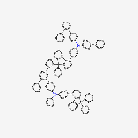 c1ccc(-c2ccc(N(c3ccc(-c4ccccc4-c4ccccc4)cc3)c3ccc(-c4cccc5c4-c4ccccc4C5(c4ccccc4)c4cccc(-c5ccc(-c6ccccc6)c(-c6ccc(N(c7ccccc7)c7ccc(-c8cccc9c8-c8ccccc8C9(c8ccccc8)c8ccccc8)cc7)cc6)c5)c4)cc3)cc2)cc1